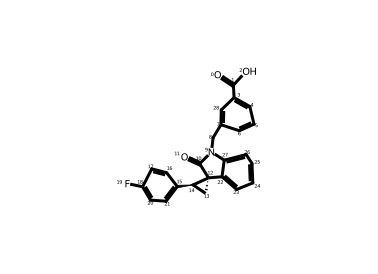 O=C(O)c1cccc(CN2C(=O)[C@@]3(C[C@H]3c3ccc(F)cc3)c3ccccc32)c1